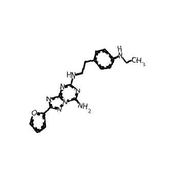 CCNc1ccc(CCNc2nc(N)n3nc(-c4ccco4)nc3n2)cc1